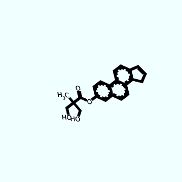 CC(CO)(CO)C(=O)Oc1ccc2c(ccc3c4c(ccc32)C=CC4)c1